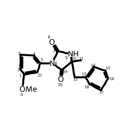 COc1cccc(N2C(=O)NC(C)(Cc3ccccc3)C2=O)c1